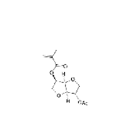 C=C(C)C(=O)O[C@@H]1CO[C@H]2[C@@H]1OC[C@@H]2OC(C)=O